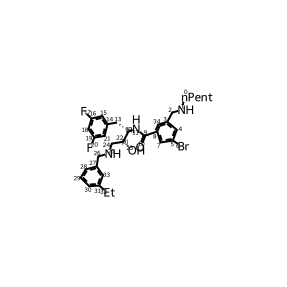 CCCCCNCc1cc(Br)cc(C(=O)N[C@@H](Cc2cc(F)cc(F)c2)[C@H](O)CNCc2cccc(CC)c2)c1